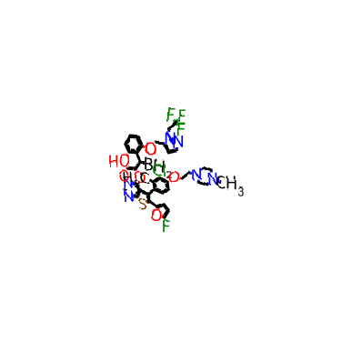 BC(c1ccccc1OCc1ccnn1CC(F)(F)F)C(Oc1ncnc2sc(-c3ccc(F)o3)c(-c3ccc(OCCN4CCN(C)CC4)c(Cl)c3C)c12)C(=O)O